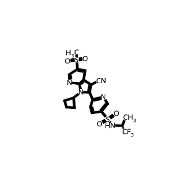 C[C@H](NS(=O)(=O)c1ccc(-c2c(C#N)c3cc(S(C)(=O)=O)cnc3n2C2CCC2)nc1)C(F)(F)F